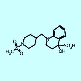 CS(=O)(=O)N1CCC(CN2CCC(O)(S(=O)(=O)O)c3ccccc32)CC1